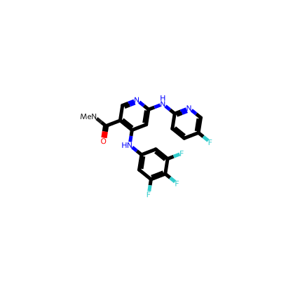 CNC(=O)c1cnc(Nc2ccc(F)cn2)cc1Nc1cc(F)c(F)c(F)c1